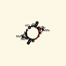 CN[C@@H](C)C(=O)N[C@H](C(=O)N1C[C@@H]2C[C@H]1C(=O)N[C@@H](Cc1ccc3ccccc3c1)C(=O)N[C@H](C(=O)O)Cc1ccc(cc1)OCc1cn(nn1)[C@@]1(N)C[C@@H](C(=O)N[C@@H](Cc3ccc4ccccc4c3)C(=O)N[C@H](C(=O)N(C)C)Cc3ccc(cc3)OCc3cn2nn3)N(C(=O)[C@@H](NC(=O)[C@H](C)NC)C(C)(C)C)C1)C(C)(C)C